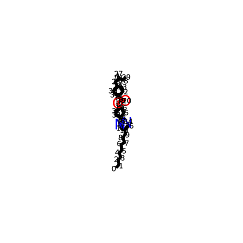 CCCCCCCCCCc1cnc(-c2ccc(OC(=O)c3ccc(C[C@@H](C)CC)cc3)cc2)nc1